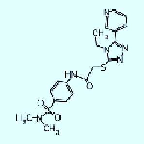 CCn1c(SCC(=O)Nc2ccc(S(=O)(=O)N(C)C)cc2)nnc1-c1cccnc1